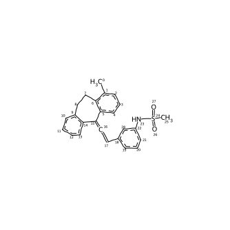 Cc1cccc2c1CCc1ccccc1C2=C=Cc1cccc(NS(C)(=O)=O)c1